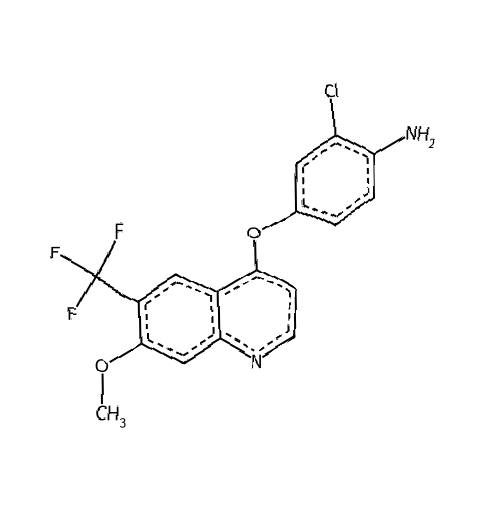 COc1cc2nccc(Oc3ccc(N)c(Cl)c3)c2cc1C(F)(F)F